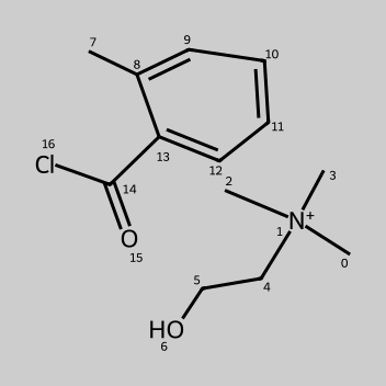 C[N+](C)(C)CCO.Cc1ccccc1C(=O)Cl